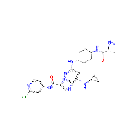 C[C@@H](N)C(=O)N[C@H]1CC[C@H](Nc2cc(NC3CC3)c3ncc(C(=O)Nc4ccnc(Cl)c4)n3n2)CC1